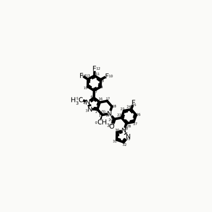 C[C@H]1c2nn(C)c(-c3cc(F)c(F)c(F)c3)c2CCN1C(=O)c1cc(F)ccc1-n1cccn1